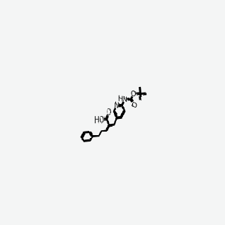 CC(C)(C)OC(=O)Nc1ccc(C/C(=C/CCc2ccccc2)C(=O)O)cn1